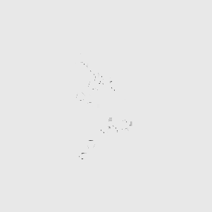 Cc1ncsc1-c1ccc(CCNC(=O)[C@@H]2C[C@@H](O)CN2C(=O)C(C)(C)[C@H](C)NC(=O)COCCOC2CCN(C[C@@H](C)Oc3nc(N4CCN(C(=O)OC(C)(C)C)CC4)c4cc(Cl)c(-c5cc(O)cc6ccccc56)c(F)c4n3)CC2)cc1